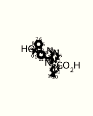 CC(O)(c1ccccc1)c1ccc(-c2nc([C@@H]3CC4(CC4)CN3C(=O)O)n3ccnc(N)c23)cc1